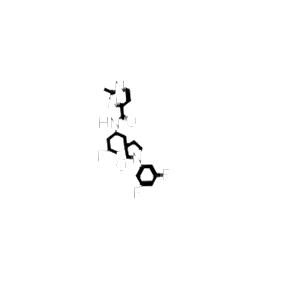 Cc1nccc(C(=O)N[C@@H]2C[C@@H](F)C[C@@]3(CCN(c4cc(F)cc(F)c4)C3=O)C2)n1